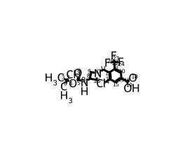 CC(C)(C)OC(=O)NC1CN(Cc2c(Cl)cc(C(=O)O)cc2C(F)(F)F)C1